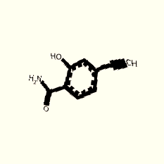 C#Cc1ccc(C(N)=O)c(O)c1